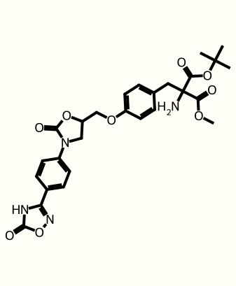 COC(=O)C(N)(Cc1ccc(OCC2CN(c3ccc(-c4noc(=O)[nH]4)cc3)C(=O)O2)cc1)C(=O)OC(C)(C)C